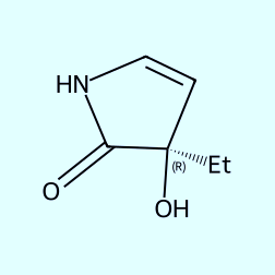 CC[C@@]1(O)C=CNC1=O